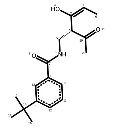 C/C=C(/O)[C@@H](CNC(=O)c1cccc(C(C)(C)C)c1)C(C)=O